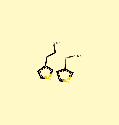 CCCCCCCCCCCCc1ccsc1.CCCCCCCCOc1ccsc1